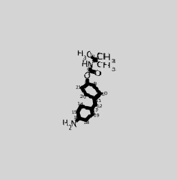 CC(C)(C)NC(=O)OC1CCC(CC2CCC(N)CC2)CC1